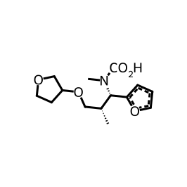 C[C@H](COC1CCOC1)[C@@H](c1ccco1)N(C)C(=O)O